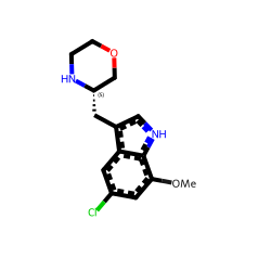 COc1cc(Cl)cc2c(C[C@H]3COCCN3)c[nH]c12